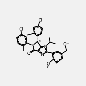 COc1ccc(CO)cc1-c1nc2c(n1C(C)C)[C@@H](c1ccc(Cl)cc1C)N(c1cc(Cl)ccc1C)C2=O